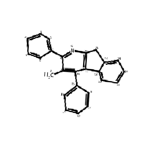 Cc1c(-c2ccccc2)nc2c(c1-c1ccccc1)-c1ccccc1C2